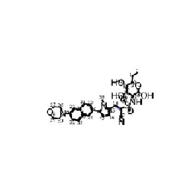 CC[C@H]1OC(O)[C@H](NS(=O)(=O)/C(C#N)=C/c2ccc(-c3ccc4cc(N5CCOCC5)ccc4c3)n2C)[C@@H](O)[C@@H]1O